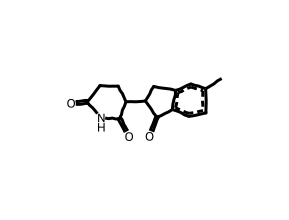 Cc1ccc2c(c1)CC(C1CCC(=O)NC1=O)C2=O